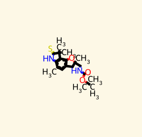 Cc1cc2c(c3c1NC(=S)C3(C)C)OC(C)(CNC(=O)OC(C)(C)C)C2